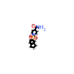 NC(=O)C1CCN(S(=O)(=O)c2ccc3c(c2)CCC3)CC1